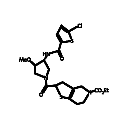 CCOC(=O)N1CCC2=C(CC(C(=O)N3CC(OC)[C@@H](NC(=O)c4ccc(Cl)s4)C3)S2)C1